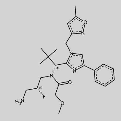 COCC(=O)N(C[C@H](F)CN)[C@@H](c1nc(-c2ccccc2)cn1Cc1cc(C)on1)C(C)(C)C